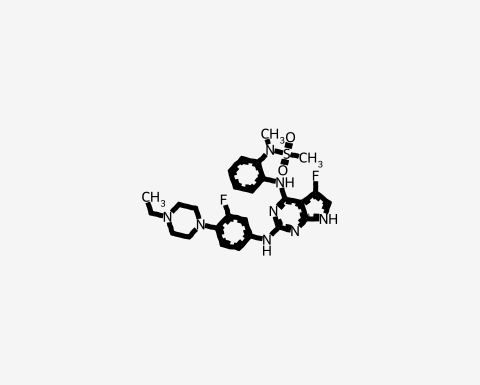 CCN1CCN(c2ccc(Nc3nc(Nc4ccccc4N(C)S(C)(=O)=O)c4c(F)c[nH]c4n3)cc2F)CC1